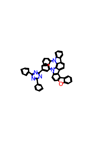 c1ccc(-c2nc(-c3ccccc3)nc(-c3cccc(-n4c5ccc6oc7ccccc7c6c5c5ccc6c7ccccc7n(-c7ccccc7)c6c54)c3)n2)cc1